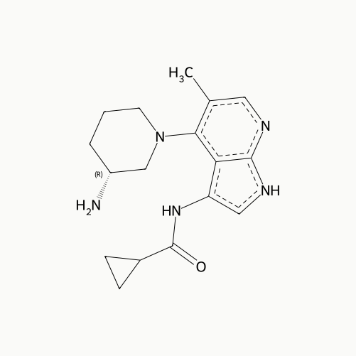 Cc1cnc2[nH]cc(NC(=O)C3CC3)c2c1N1CCC[C@@H](N)C1